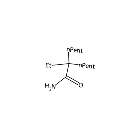 CCCCCC(CC)(CCCCC)C(N)=O